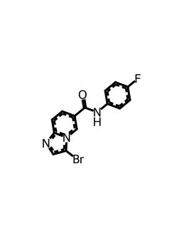 O=C(Nc1ccc(F)cc1)c1ccc2ncc(Br)n2c1